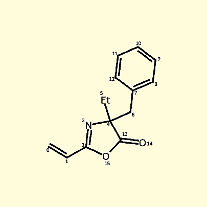 C=CC1=NC(CC)(Cc2ccccc2)C(=O)O1